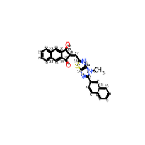 Cn1c(-c2ccc3ccccc3c2)nc2sc(C=C3C(=O)c4cc5ccccc5cc4C3=O)nc21